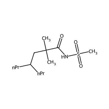 CCCC(CCC)CC(C)(C)C(=O)NS(C)(=O)=O